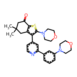 CC1(C)CC(=O)c2sc(N3CCOCC3)c(-c3ccnc(-c4cccc(N5CCOCC5)c4)c3)c2C1